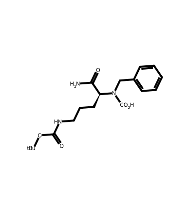 CC(C)(C)OC(=O)NCCC[C@@H](C(N)=O)N(Cc1ccccc1)C(=O)O